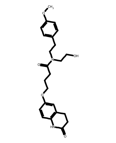 COc1ccc(CCN(CCO)C(=O)CCCOc2ccc3c(c2)CCC(=O)N3)cc1